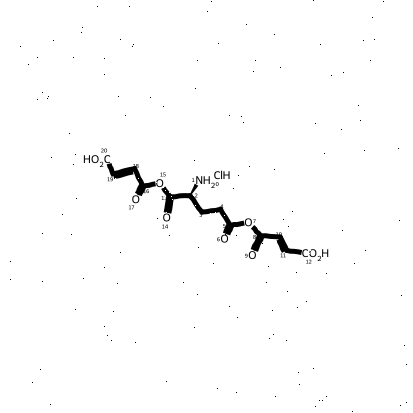 Cl.N[C@@H](CCC(=O)OC(=O)/C=C/C(=O)O)C(=O)OC(=O)/C=C/C(=O)O